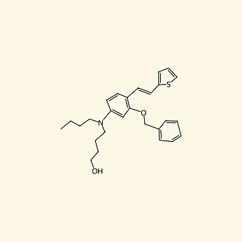 CCCCN(CCCCO)c1ccc(/C=C/c2cccs2)c(OCc2ccccc2)c1